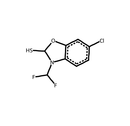 FC(F)N1c2ccc(Cl)cc2OC1S